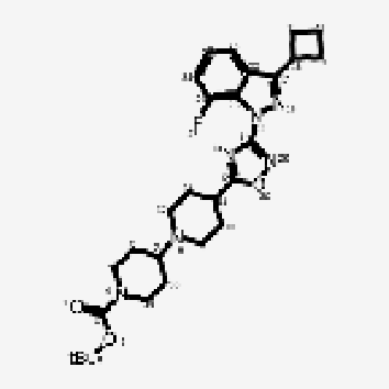 CC(C)(C)OC(=O)N1CCC(N2CCC(c3nc(-n4nc(C5CCC5)c5cccc(F)c54)no3)CC2)CC1